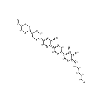 C=CC1CCC(C2CCC(c3ccc(-c4ccc(-c5ccc(OCCCCCC)c(F)c5F)cc4)c(F)c3)CC2)CC1